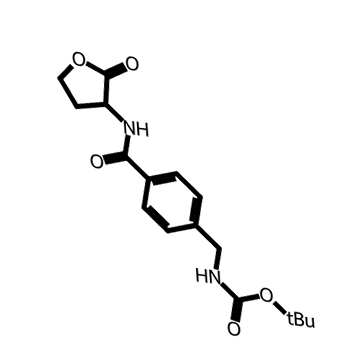 CC(C)(C)OC(=O)NCc1ccc(C(=O)NC2CCOC2=O)cc1